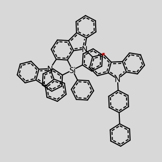 c1ccc(-c2ccc(-n3c4ccccc4c4cc(-n5c6ccccc6c6ccc(-n7c8ccccc8c8ccccc87)c([Si](c7ccccc7)(c7ccccc7)c7ccccc7)c65)ccc43)cc2)cc1